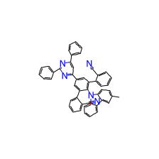 Cc1ccc2c(c1)c1ccccc1n2-c1c(-c2ccccc2C#N)cc(-c2cc(-c3ccccc3)nc(-c3ccccc3)n2)cc1-c1ccccc1C#N